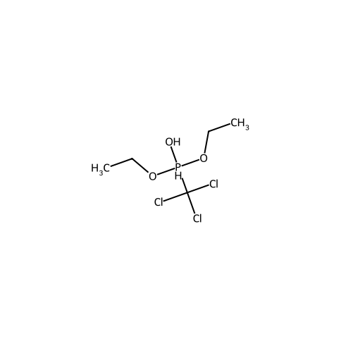 CCO[PH](O)(OCC)C(Cl)(Cl)Cl